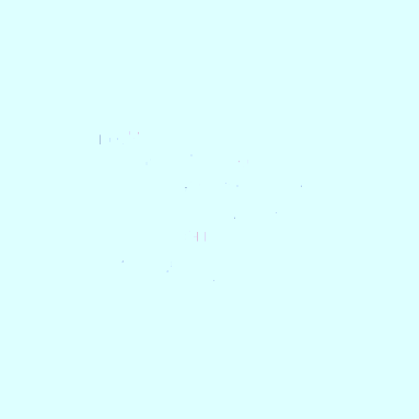 C=C(C)C(=O)CC(=O)OCCOCC.CCC(=O)O